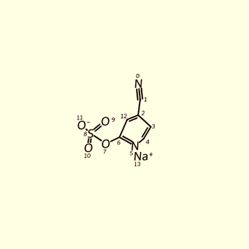 N#Cc1ccnc(OS(=O)(=O)[O-])c1.[Na+]